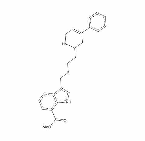 COC(=O)c1cccc2c(CSCCC3CC(c4ccccc4)=CCN3)c[nH]c12